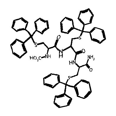 NC(=O)C(CSC(c1ccccc1)(c1ccccc1)c1ccccc1)NC(=O)C(CSC(c1ccccc1)(c1ccccc1)c1ccccc1)NC(=O)C(CSC(c1ccccc1)(c1ccccc1)c1ccccc1)NC(=O)O